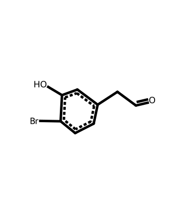 O=CCc1ccc(Br)c(O)c1